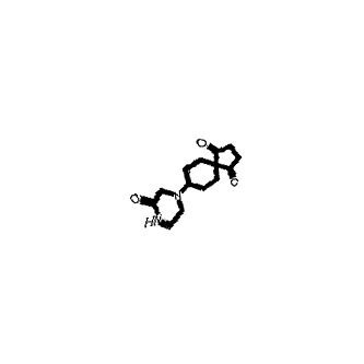 O=C1CN(C2CCC3(CC2)C(=O)CCC3=O)CCN1